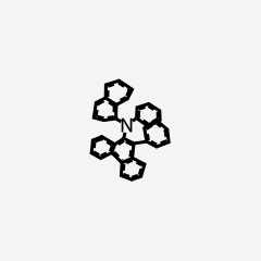 c1ccc(-c2c(N(c3ccccc3)c3cccc4ccccc34)c3ccccc3c3ccccc23)cc1